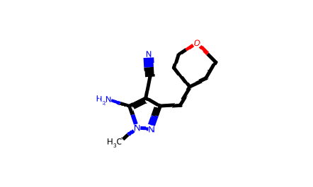 Cn1nc(CC2CCOCC2)c(C#N)c1N